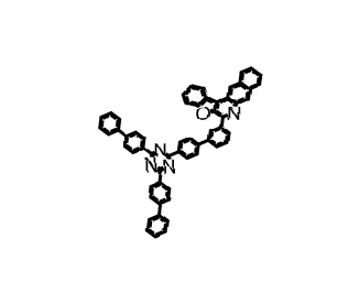 c1ccc(-c2ccc(-c3nc(-c4ccc(-c5ccccc5)cc4)nc(-c4ccc(-c5cccc(-c6nc7cc8ccccc8cc7c7c6oc6ccccc67)c5)cc4)n3)cc2)cc1